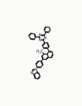 CC1C=C(c2ccc(-n3cnc4ccccc43)cc2)C=C2C=CC=C(c3ccc(-c4nc(C5=CCCC=C5)nc(-c5ccccc5)n4)cc3)C21